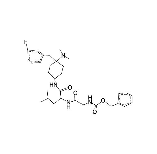 CC(C)CC(NC(=O)CNC(=O)OCc1ccccc1)C(=O)NC1CCC(Cc2cccc(F)c2)(N(C)C)CC1